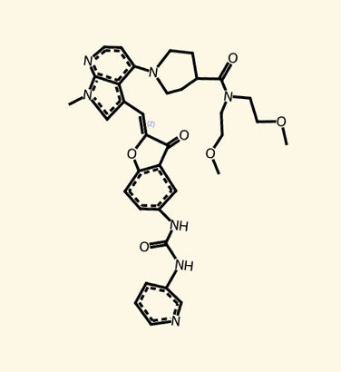 COCCN(CCOC)C(=O)C1CCN(c2ccnc3c2c(/C=C2\Oc4ccc(NC(=O)Nc5cccnc5)cc4C2=O)cn3C)CC1